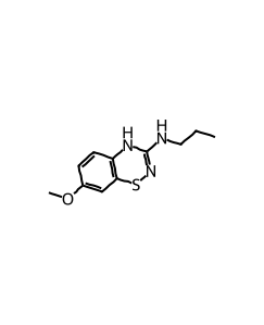 CCCNC1=NSc2cc(OC)ccc2N1